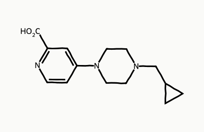 O=C(O)c1cc(N2CCN(CC3CC3)CC2)ccn1